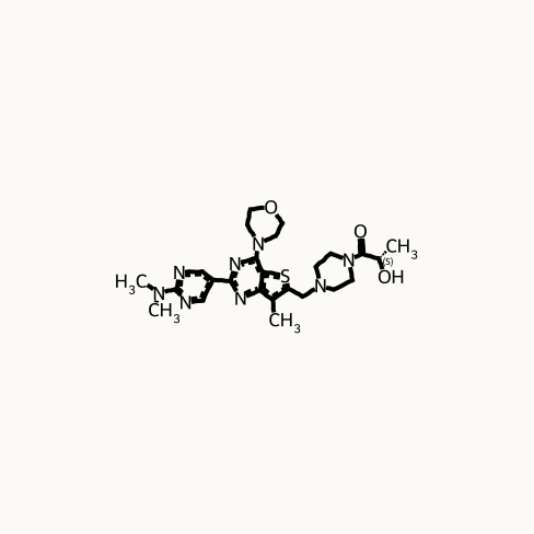 Cc1c(CN2CCN(C(=O)[C@H](C)O)CC2)sc2c(N3CCOCC3)nc(-c3cnc(N(C)C)nc3)nc12